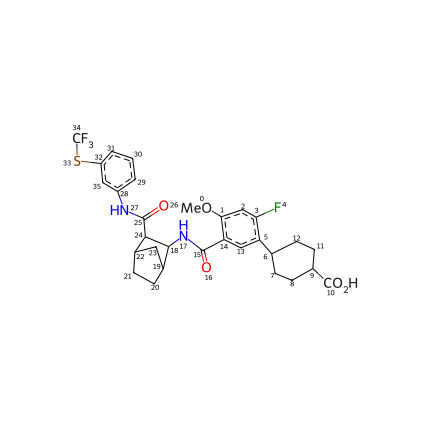 COc1cc(F)c(C2CCC(C(=O)O)CC2)cc1C(=O)NC1C2CCC(C2)C1C(=O)Nc1cccc(SC(F)(F)F)c1